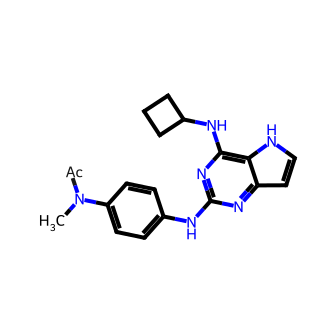 CC(=O)N(C)c1ccc(Nc2nc(NC3CCC3)c3[nH]ccc3n2)cc1